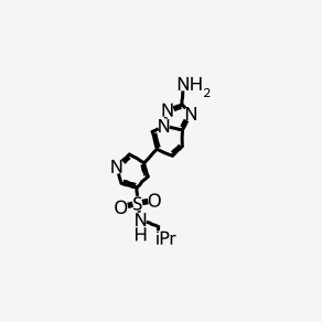 CC(C)CNS(=O)(=O)c1cncc(-c2ccc3nc(N)nn3c2)c1